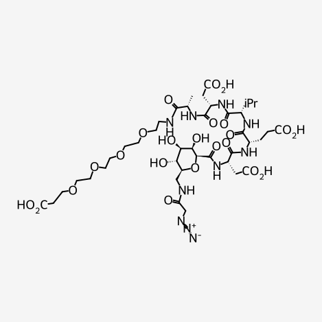 CC(C)[C@H](NC(=O)[C@H](CCC(=O)O)NC(=O)[C@H](CC(=O)O)NC(=O)[C@H]1O[C@@H](CNC(=O)CN=[N+]=[N-])[C@H](O)[C@@H](O)[C@H]1O)C(=O)N[C@@H](CC(=O)O)C(=O)N[C@@H](C)C(=O)NCCOCCOCCOCCOCCC(=O)O